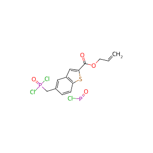 C=CCOC(=O)c1cc2cc(CP(=O)(Cl)Cl)ccc2s1.O=PCl